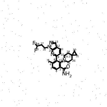 NC(=O)c1ccc(I)c(-c2ccc3cnn(CCC(F)F)c3n2)c1N1CCC2(CC1)CC2